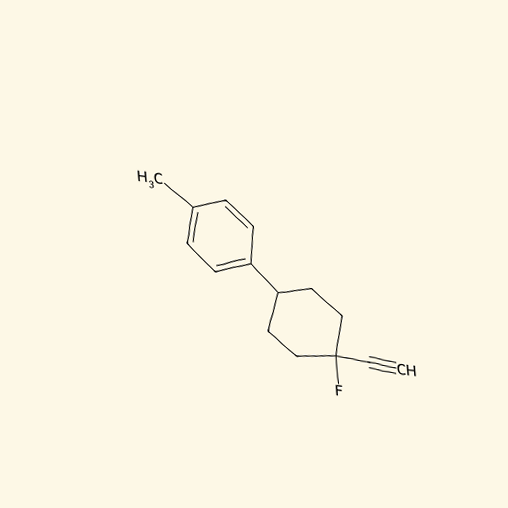 C#CC1(F)CCC(c2ccc(C)cc2)CC1